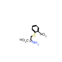 N[C@@H](CSc1ccccc1[N+](=O)[O-])C(=O)O